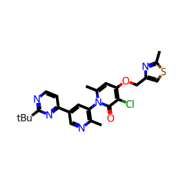 Cc1nc(COc2cc(C)n(-c3cc(-c4ccnc(C(C)(C)C)n4)cnc3C)c(=O)c2Cl)cs1